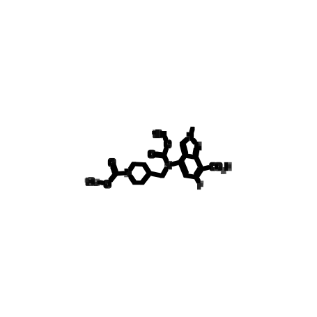 Cn1cc2c(N(CC3CCN(C(=O)OC(C)(C)C)CC3)C(=O)OC(C)(C)C)cc(F)c(C(=O)O)c2n1